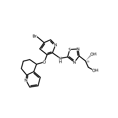 OC[C@@H](O)c1nsc(Nc2ncc(Br)cc2OC2CCCc3ncccc32)n1